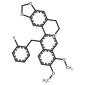 COc1ccc2c(Cc3ccccc3F)c3[n+](cc2c1OC)CCc1cc2c(cc1-3)OCO2